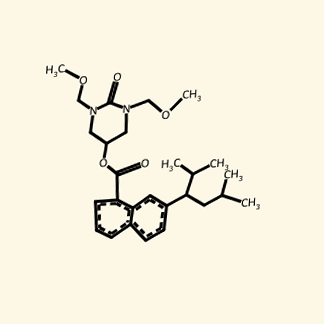 COCN1CC(OC(=O)c2cccc3ccc(C(CC(C)C)C(C)C)cc23)CN(COC)C1=O